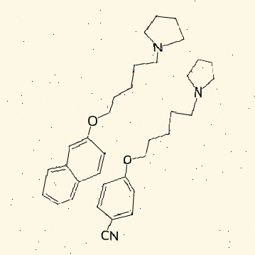 N#Cc1ccc(OCCCCCN2CCCC2)cc1.c1ccc2cc(OCCCCCN3CCCC3)ccc2c1